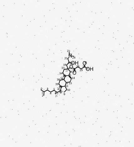 CC(C)CCC[C@@H](C)[C@H]1CCC2C3CC=C4CC(CC(O)CN(C)C)(OC(=O)CCC(=O)O)CC[C@]4(C)C3CC[C@@]21C